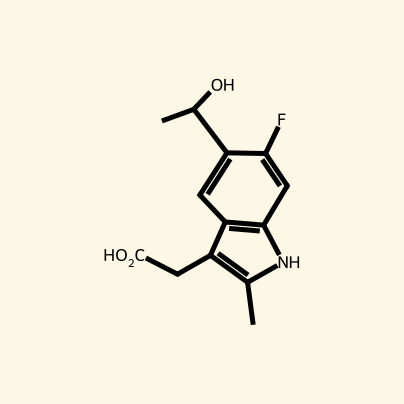 Cc1[nH]c2cc(F)c(C(C)O)cc2c1CC(=O)O